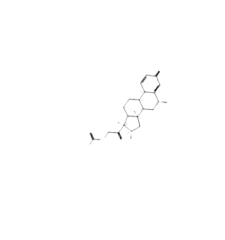 CC(=O)OCC(=O)[C@@]1(O)[C@H](C)C[C@H]2[C@@H]3C[C@H](F)C4=CC(=O)C=C[C@]4(C)[C@@H]3[C@@H](O)C[C@@]21C